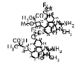 CC(C(=O)O)=C1CC(c2cccc(C3(c4ccc(OC(F)F)cc4)N=C(N)N(C)C3=O)c2)C1.COC1(C(C)C(=O)O)CC(c2cccc(C3(c4ccc(OC(F)F)cc4)N=C(N)N(C)C3=O)c2)C1